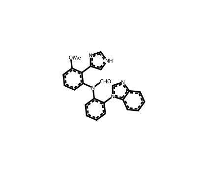 COc1cccc(N(C=O)c2ccccc2-n2cnc3ccccc32)c1-c1c[nH]cn1